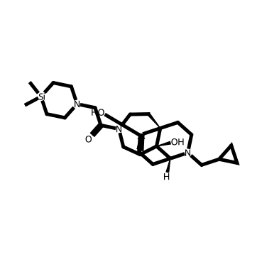 C[Si]1(C)CCN(CC(=O)N2CC[C@]34CCN(CC5CC5)[C@H](Cc5ccc(O)cc53)[C@]4(O)CC2)CC1